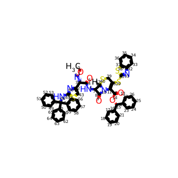 CO/N=C(\C(=O)NC1C(=O)N2C(C(=O)OC(c3ccccc3)c3ccccc3)=C(Sc3nc4ccccc4s3)CS[C@@H]12)c1csc(NC(c2ccccc2)(c2ccccc2)c2ccccc2)n1